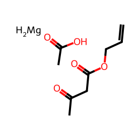 C=CCOC(=O)CC(C)=O.CC(=O)O.[MgH2]